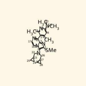 CSc1nc2c(-c3c(C)cc(N(C)C)nc3C)nccn2c1N(CC1CC1)CC1CC1